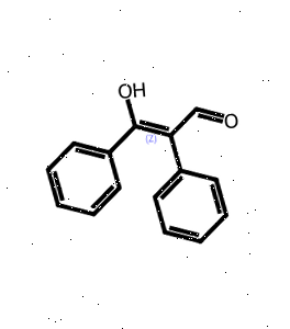 O=C/C(=C(\O)c1ccccc1)c1ccccc1